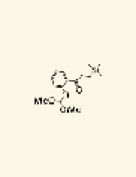 COC(OC)Oc1ccccc1C(=O)CC[Si](C)(C)C